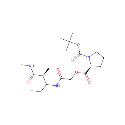 CCC(NC(=O)COC(=O)[C@@H]1CCCN1C(=O)OC(C)(C)C)[C@H](C)C(=O)NC